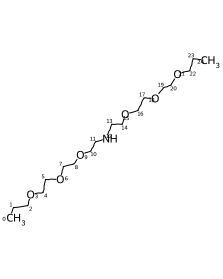 CCCOCCOCCOCCNCCOCCOCCOCCC